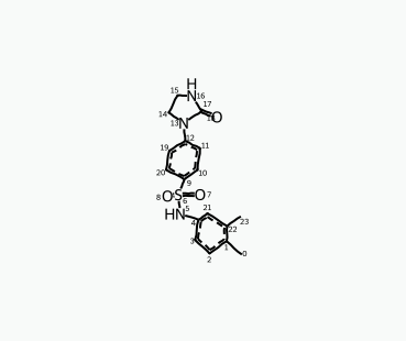 Cc1ccc(NS(=O)(=O)c2ccc(N3CCNC3=O)cc2)cc1C